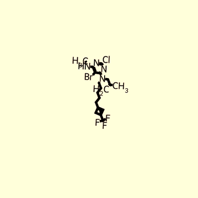 C=C(C)CN(CCCCCC12CC(C(F)(F)F)(C1)C2)c1nc(Cl)nc(NC)c1Br